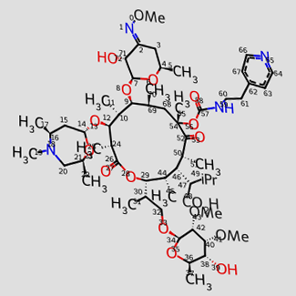 CO/N=C1\C[C@@H](C)O[C@@H](O[C@@H]2[C@@H](C)[C@H](O[C@H]3C[C@H](C)N(C)C[C@H](C)O3)[C@@H](C)C(=O)O[C@@H](C(C)CO[C@@H]3O[C@H](C)[C@@H](O)[C@@H](OC)[C@H]3OC)[C@@H](C)[C@@H](C(C(=O)O)C(C)C)[C@@H](C)C(=O)[C@@](C)(OC(=O)NCCc3ccncc3)C[C@@H]2C)[C@@H]1O